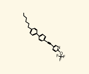 CCCCCCc1ccc(-c2ccc(C#Cc3ccc(OC(F)(F)F)nc3)cc2)cc1